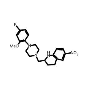 COc1cc(F)ccc1N1CCN(CC2CCc3cc([N+](=O)[O-])ccc3N2)CC1